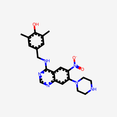 Cc1cc(CNc2ncnc3cc(N4CCNCC4)c([N+](=O)[O-])cc23)cc(C)c1O